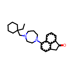 CCC1(CN2CCCN(c3ccc4c5c(cccc35)C(=O)C4)CC2)CCCCC1